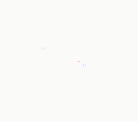 COc1ccc(OC(=O)N2C3CCC2CC(C)C3)cc1